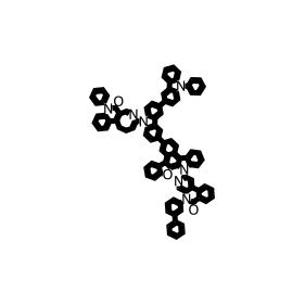 O=c1c2c(c3ccccc3n1-c1ccccc1)CC/C=C(n1c3ccc(-c4ccc5c(c4)c4c6ccccc6oc4c4c5c5ccccc5n4-c4cc5c6ccccc6c(=O)n(-c6cccc(-c7ccccc7)c6)c5cn4)cc3c3cc(-c4ccc5c(c4)c4ccccc4n5-c4ccccc4)ccc31)\N=C/2